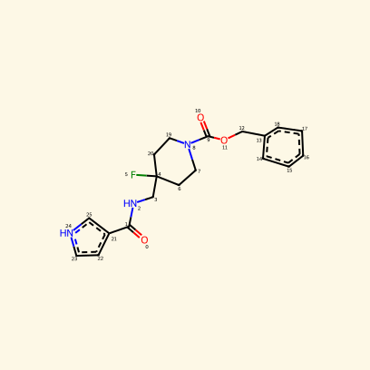 O=C(NCC1(F)CCN(C(=O)OCc2ccccc2)CC1)c1cc[nH]c1